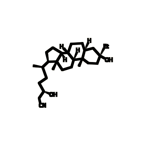 CC[C@]1(O)CC[C@@]2(C)[C@@H](CC[C@@H]3[C@@H]2CC[C@]2(C)[C@@H]([C@H](C)CC[C@H](O)CC#N)CC[C@@H]32)C1